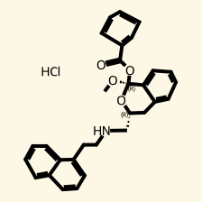 CO[C@@]1(OC(=O)c2ccccc2)O[C@@H](CNCCc2cccc3ccccc23)Cc2ccccc21.Cl